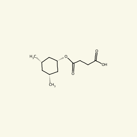 C[C@@H]1C[C@H](C)C[C@H](OC(=O)CCC(=O)O)C1